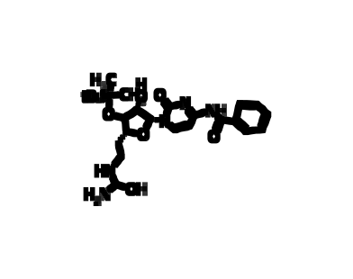 CC(C)(C)[Si](C)(C)OC1[C@@H](CCNC(N)O)O[C@@H](n2ccc(NC(=O)c3ccccc3)nc2=O)[C@H]1O